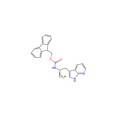 O=C(N[C@@H](Cc1c[nH]c2ncccc12)C(=O)O)OCC1c2ccccc2-c2ccccc21